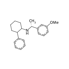 COc1cccc([C@@H](C)NC2CCCCC2c2ccccc2)c1